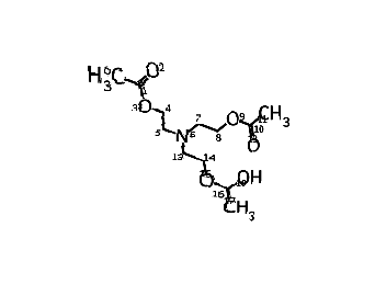 CC(=O)OCCN(CCOC(C)=O)CCOC(C)O